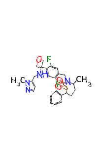 C[C@H]1CCC(c2ccccc2)S(=O)(=O)N1Cc1cc(F)c(C2(NCc3ccnn3C)COC2)cc1F